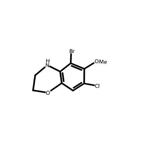 COc1c(Cl)cc2c(c1Br)NCCO2